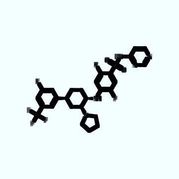 O=S(=O)(Nc1ccncn1)c1cc(F)c(N[C@H]2CC[C@H](c3cc(F)cc(C(F)(F)F)c3)C[C@@H]2N2CCCC2)cc1F